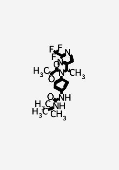 C[C@H](c1ccnc(C(F)(F)F)n1)N1C(=O)[C@@H](C)Oc2cc(NC(=O)NC(C)(C)C)ccc21